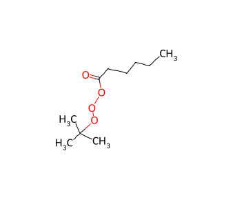 CCCCCC(=O)OOOC(C)(C)C